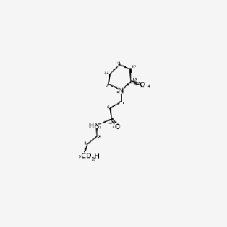 O=C(O)CCNC(=O)CCN1CCCCC1=O